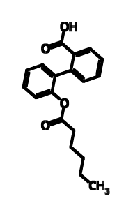 CCCCCC(=O)Oc1ccccc1-c1ccccc1C(=O)O